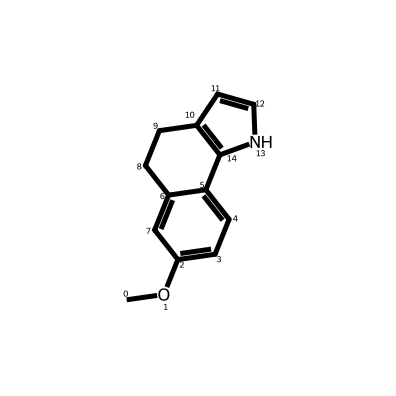 COc1ccc2c(c1)CCc1cc[nH]c1-2